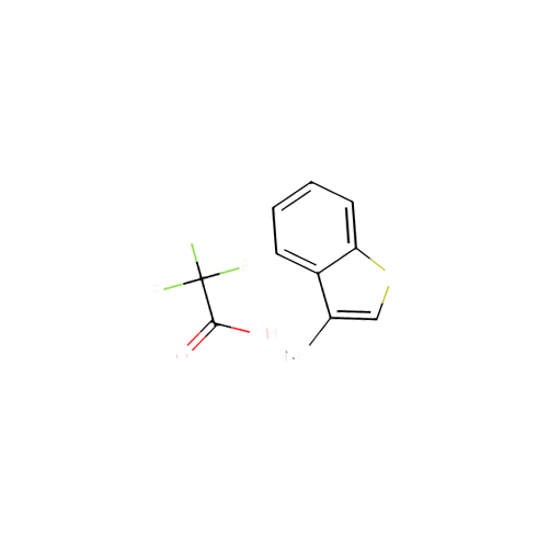 N#Cc1csc2ccccc12.O=C(O)C(F)(F)F